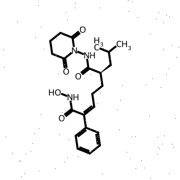 CC(C)C[C@@H](CC/C=C(\C(=O)NO)c1ccccc1)C(=O)NN1C(=O)CCCC1=O